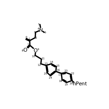 C=C(CCN(C)C)C(=O)OCCCc1ccc(-c2ccc(CCCCC)cc2)cc1